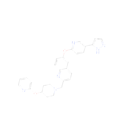 c1ccc(OC2CCN(Cc3ccc4cc(Oc5ccc(-c6ccn[nH]6)cn5)ccc4n3)CC2)nc1